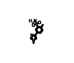 Cc1ccc(-c2cn(C)cn2)cc1S(N)(=O)=O